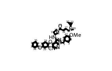 COc1ccc(Cn2nc(N[C@@H]3CCN(C(=O)/C=C/CN(C)C4CC4)C3)c3c(Oc4ccc(Oc5ccccc5)cc4C#N)ccnc32)cc1